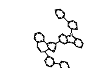 C1=CC(c2cccc(-c3ccccc3)c2)c2ccc(-c3ccc4c(c3)c3ccccc3n4-c3cccc(-c4ccccc4)c3)cc2-c2ccccc21